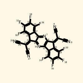 N#CC(C#N)=C1c2nc3c(nc2-c2c(F)c(F)c(F)c(F)c21)C(=C(C#N)C#N)c1c(F)c(F)c(F)c(F)c1-3